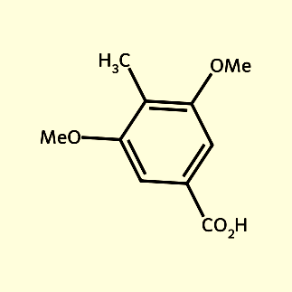 COc1cc(C(=O)O)cc(OC)c1C